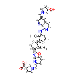 Cc1c(Nc2nccc3cc(CN4CC[C@@H](O)C4)cnc23)cccc1-c1cccc(-c2nc3nc(CN4CC[C@@H](C(=O)O)C4)ccc3o2)c1C